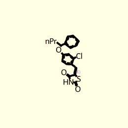 CCCC(Oc1ccc(/C=C2/SC(=O)NC2=O)c(Cl)c1)c1ccccc1